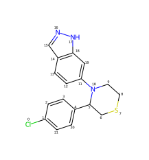 Clc1ccc(C2CS[CH]CN2c2ccc3cn[nH]c3c2)cc1